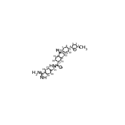 Cc1ccc(-c2ccc3c(c2)C2C[C@@H]3c3ccc(C(=O)NCc4ccc(C(=N)N)cc4)cc32)o1